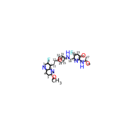 COc1ccc2ncc(F)c(CCC34CCC(NCc5nc6c(cc5F)OCC(=O)N6)(CC3)CO4)c2n1